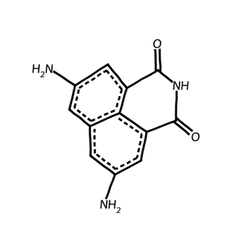 Nc1cc2c3c(cc(N)cc3c1)C(=O)NC2=O